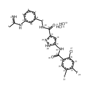 CC(=N)Nc1cccc(CNC(=O)c2cc(NC(=O)c3cc(F)c(F)cc3Cl)[nH]n2)c1.Cl.Cl